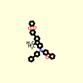 CC1(C)c2cc(-c3ccc4c(c3)Oc3ccccc3O4)ccc2-c2ccc(N(c3ccc(-c4ccccc4)cc3)c3ccc4c(c3)oc3ccccc34)cc21